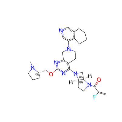 C=C(F)C(=O)N1CC[C@@H]2[C@H]1CN2c1nc(OC[C@@H]2CCCN2C)nc2c1CCN(c1cncc3c1CCCC3)C2